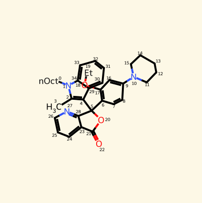 CCCCCCCCn1c(C)c(C2(c3ccc(N4CCCCC4)cc3OCC)OC(=O)c3cccnc32)c2ccccc21